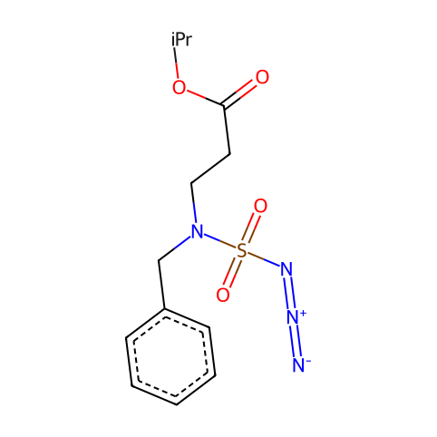 CC(C)OC(=O)CCN(Cc1ccccc1)S(=O)(=O)N=[N+]=[N-]